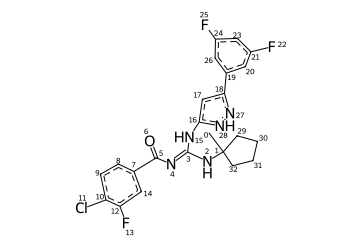 CC1(N/C(=N/C(=O)c2ccc(Cl)c(F)c2)Nc2cc(-c3cc(F)cc(F)c3)n[nH]2)CCCC1